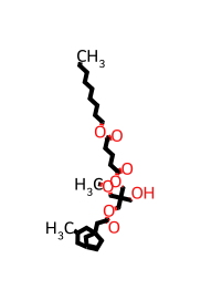 CCCCCCCCCOC(=O)CCCC(=O)OCC(CO)(COC)COC(=O)CC12CC=C(CC(C)C1)C2